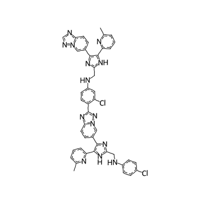 Cc1cccc(-c2[nH]c(CNc3ccc(-c4nc5ccc(-c6nc(CNc7ccc(Cl)cc7)[nH]c6-c6cccc(C)n6)cn5n4)c(Cl)c3)nc2-c2ccc3ncnn3c2)n1